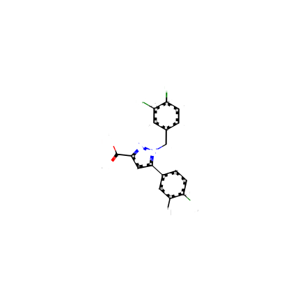 Cc1cc(-c2cc(C(=O)O)nn2Cc2ccc(Cl)c(Cl)c2)ccc1Cl